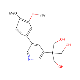 CCCOc1cc(-c2cncc(C(CO)(CO)CO)c2)ccc1OC